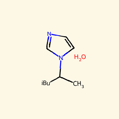 CCC(C)C(C)n1ccnc1.O